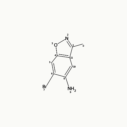 Cc1noc2cc(Br)c(N)cc12